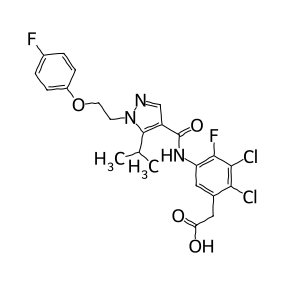 CC(C)c1c(C(=O)Nc2cc(CC(=O)O)c(Cl)c(Cl)c2F)cnn1CCOc1ccc(F)cc1